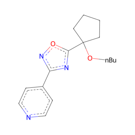 CCCCOC1(c2nc(-c3ccncc3)no2)CCCC1